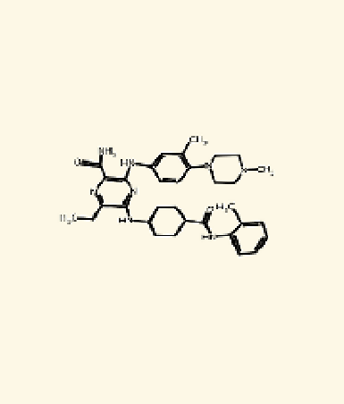 CCc1nc(C(N)=O)c(Nc2ccc(N3CCN(C)CC3)c(C)c2)nc1NC1CCC(C(=O)Nc2ccccc2C)CC1